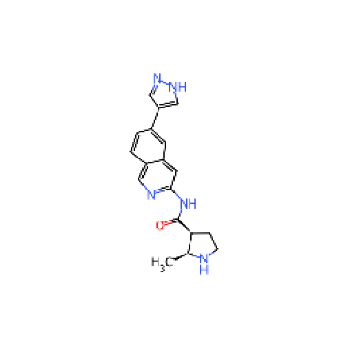 C[C@@H]1NCC[C@@H]1C(=O)Nc1cc2cc(-c3cn[nH]c3)ccc2cn1